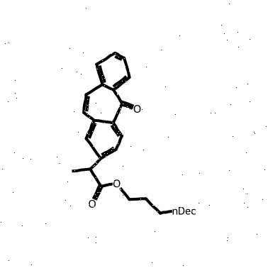 CCCCCCCCCCCCCOC(=O)C(C)c1ccc2c(=O)c3ccccc3ccc2c1